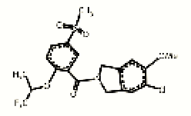 COc1cc2c(cc1Cl)CN(C(=O)c1cc(S(C)(=O)=O)ccc1O[C@H](C)C(F)(F)F)C2